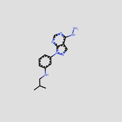 CC(C)CNc1cccc(-n2ncc3c(NN)ncnc32)c1